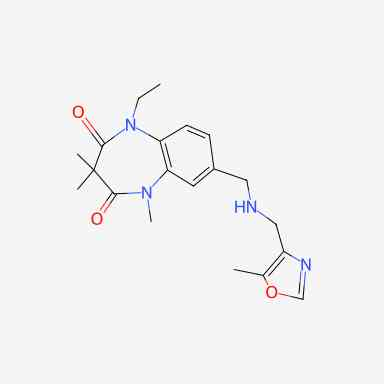 CCN1C(=O)C(C)(C)C(=O)N(C)c2cc(CNCc3ncoc3C)ccc21